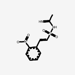 CC(=N)NS(=O)(=O)C=Cc1ccccc1[N+](=O)[O-]